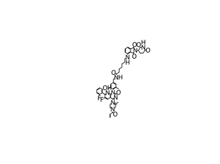 C=CC(=O)N1CCN(c2nc(=O)n(-c3c(C)cc(CNC(=O)CCCCCCNc4cccc5c4C(=O)N(C4CCC(=O)NC4=O)C5=O)cc3C)c3nc(-c4c(O)cccc4F)c(F)cc23)[C@@H](C)C1